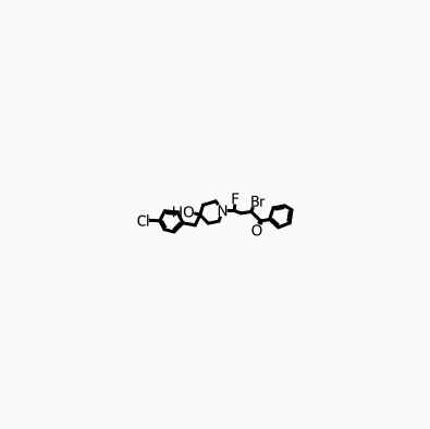 O=C(c1ccccc1)C(Br)CC(F)N1CCC(O)(Cc2ccc(Cl)cc2)CC1